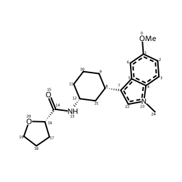 COc1ccc2c(c1)c([C@H]1CCC[C@@H](NC(=O)[C@@H]3CCCO3)C1)cn2C